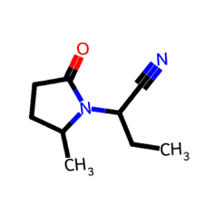 CCC(C#N)N1C(=O)CCC1C